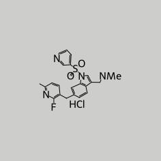 CNCc1cn(S(=O)(=O)c2cccnc2)c2cc(Cc3ccc(C)nc3F)ccc12.Cl